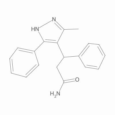 Cc1n[nH]c(-c2ccccc2)c1C(CC(N)=O)c1ccccc1